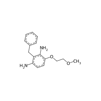 COCCOc1ccc(N)c(Cc2ccccc2)c1N